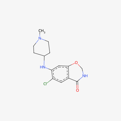 CN1CCC(Nc2cc3c(cc2Cl)C(=O)NCO3)CC1